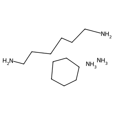 C1CCCCC1.N.N.NCCCCCCN